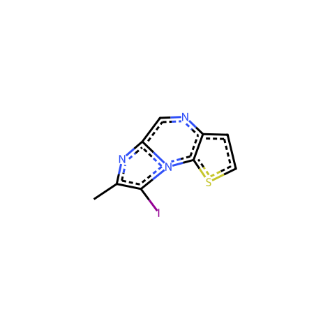 Cc1nc2cnc3ccsc3n2c1I